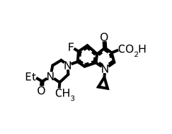 CCC(=O)N1CCN(c2cc3c(cc2F)c(=O)c(C(=O)O)cn3C2CC2)CC1C